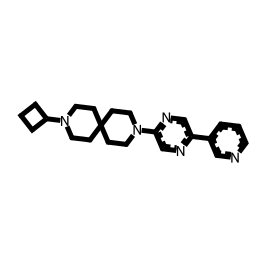 c1cncc(-c2cnc(N3CCC4(CC3)CCN(C3CCC3)CC4)cn2)c1